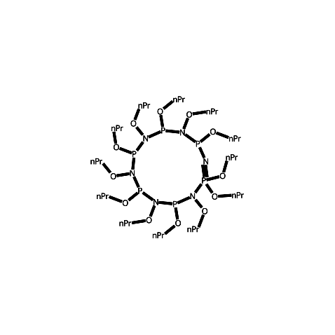 CCCON1P(OCCC)N=P(OCCC)(OCCC)N(OCCC)P(OCCC)N(OCCC)P(OCCC)N(OCCC)P(OCCC)N(OCCC)P1OCCC